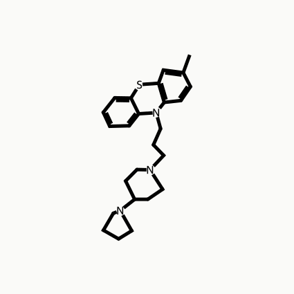 Cc1ccc2c(c1)Sc1ccccc1N2CCCN1CCC(N2CCCC2)CC1